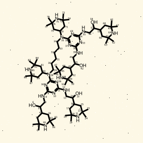 CC1(C)CC(C(O)CNc2nc(NCC(O)C3CC(C)(C)NC(C)(C)C3)nc(N(CCCCCCN(c3nc(NCC(O)C4CC(C)(C)NC(C)(C)C4)nc(NCC(O)C4CC(C)(C)NC(C)(C)C4)n3)C3CC(C)(C)NC(C)(C)C3)C3CC(C)(C)NC(C)(C)C3)n2)CC(C)(C)N1